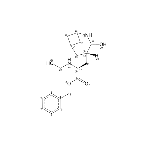 O=C(OCc1ccccc1)[C@H](C[C@@H]1CC2CC(C2)NC1O)NCO